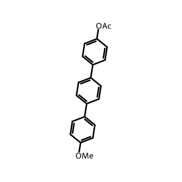 COc1ccc(-c2ccc(-c3ccc(OC(C)=O)cc3)cc2)cc1